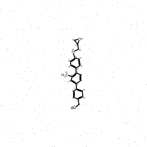 CCC(C)Cc1ccc(-c2ccc(-c3ccc(OCC4CO4)cc3)c(C)c2)cc1